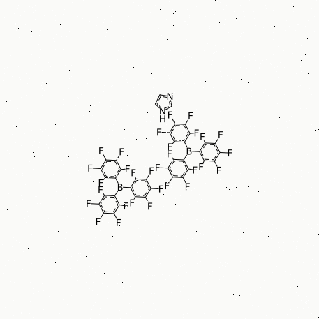 Fc1c(F)c(F)c(B(c2c(F)c(F)c(F)c(F)c2F)c2c(F)c(F)c(F)c(F)c2F)c(F)c1F.Fc1c(F)c(F)c(B(c2c(F)c(F)c(F)c(F)c2F)c2c(F)c(F)c(F)c(F)c2F)c(F)c1F.c1c[nH]cn1